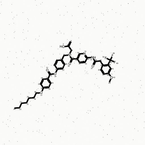 C=C(O)CN(Cc1ccc(OC(=O)c2ccc(OCCCCCCC)cc2)cc1)C(=O)c1ccc(NC(=O)Cc2ccc(OC)cc2C(F)(F)F)nc1